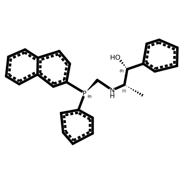 C[C@H](NC[P@@](c1ccccc1)c1ccc2ccccc2c1)[C@H](O)c1ccccc1